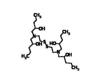 CCCC(O)CN(CCSSCCN(CC(O)CCC)CC(O)CCC)CC(O)CCC